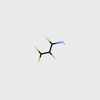 NC(F)C(F)C(F)F